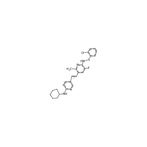 Cc1nc(NSc2ccccc2Cl)c(F)cc1/C=C/c1cnc(NC2CCCCC2)nc1